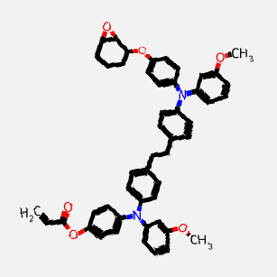 C=CC(=O)Oc1ccc(N(c2ccc(CCc3ccc(N(c4ccc(OC5CCCC6OC56)cc4)c4cccc(OC)c4)cc3)cc2)c2cccc(OC)c2)cc1